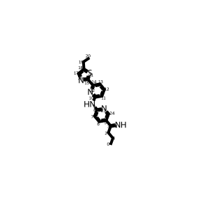 CCCC(=N)c1ccc(Nc2cccc(-c3ncc(CC)s3)n2)nc1